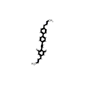 C/C=C/Cc1ccc(-c2ccc(C#Cc3c(F)cc(C/C=C/C)cc3F)cc2)cc1